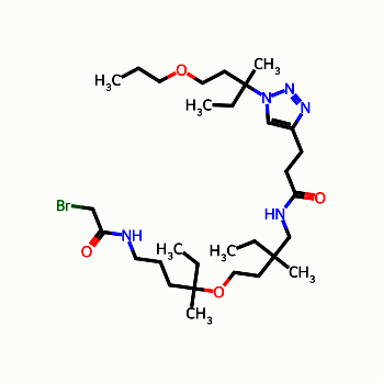 CCCOCCC(C)(CC)n1cc(CCC(=O)NCC(C)(CC)CCOC(C)(CC)CCCNC(=O)CBr)nn1